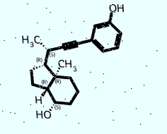 C[C@H](C#Cc1cccc(O)c1)[C@H]1CC[C@H]2[C@@H](O)CCC[C@]12C